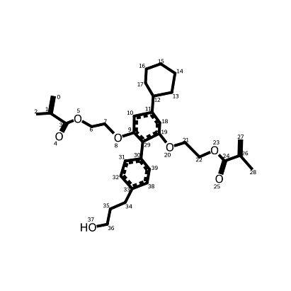 C=C(C)C(=O)OCCOc1cc(C2CCCCC2)cc(OCCOC(=O)C(=C)C)c1-c1ccc(CCCO)cc1